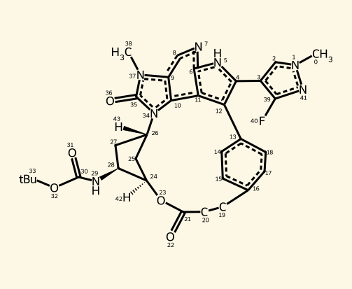 Cn1cc(-c2[nH]c3ncc4c5c3c2-c2ccc(cc2)CCC(=O)O[C@@H]2C[C@H](C[C@@H]2NC(=O)OC(C)(C)C)n5c(=O)n4C)c(F)n1